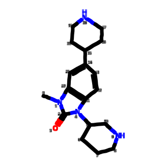 Cn1c(=O)n(C2CCCNC2)c2ccc(C3CCNCC3)cc21